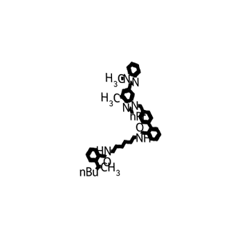 CCCCC(C)c1ccccc1C(=O)NCCCCCCNC(=O)c1ccccc1-c1ccc(Cn2c(CCC)nc3c(C)cc(-c4nc5ccccc5n4C)cc32)cc1